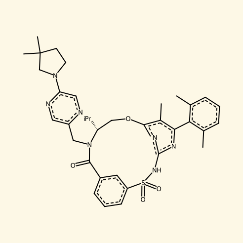 Cc1cccc(C)c1-c1nc2nc(c1C)OC[C@@H](C(C)C)N(Cc1cnc(N3CCC(C)(C)C3)cn1)C(=O)c1cccc(c1)S(=O)(=O)N2